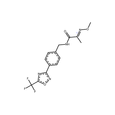 CO/N=C(\C)C(=O)NCc1ccc(-c2noc(C(F)(F)F)n2)cc1